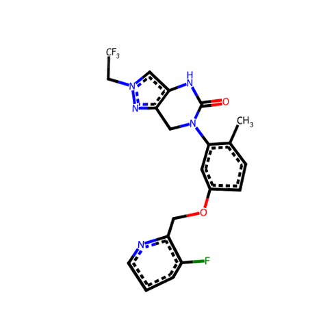 Cc1ccc(OCc2ncccc2F)cc1N1Cc2nn(CC(F)(F)F)cc2NC1=O